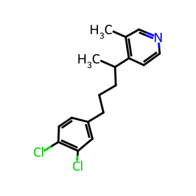 Cc1cnccc1C(C)CCCc1ccc(Cl)c(Cl)c1